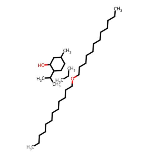 CC1CCC(C(C)C)C(O)C1.CCC.CCCCCCCCCCCCOCCCCCCCCCCCC